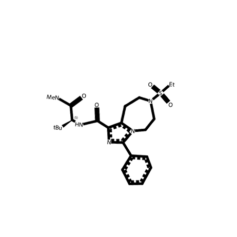 CCS(=O)(=O)N1CCc2c(C(=O)N[C@H](C(=O)NC)C(C)(C)C)nc(-c3ccccc3)n2CC1